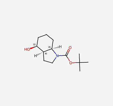 CC(C)(C)OC(=O)N1CC[C@@H]2[C@H]1CCC[C@@H]2O